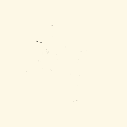 CC(C)C[C@H](NC(=O)[C@H](CSC(c1ccccc1)(c1ccccc1)c1ccccc1)NC(=O)CN)C(=O)O